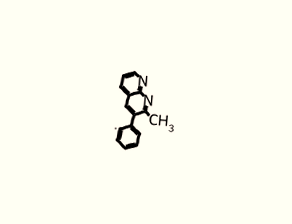 Cc1nc2ncccc2cc1-c1[c]cccc1